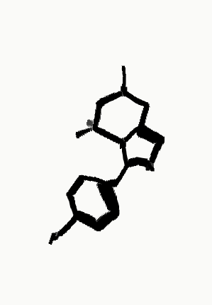 C[C@@H]1CN(C)Cc2cnc(-c3ccc(F)cc3)n21